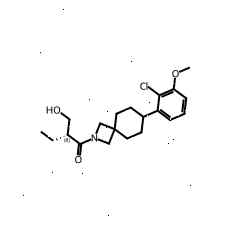 CC[C@H](CO)C(=O)N1CC2(CCC(c3cccc(OC)c3Cl)CC2)C1